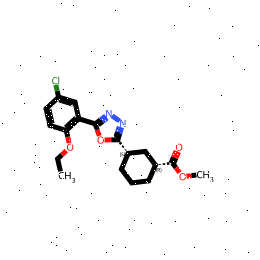 CCOc1ccc(Cl)cc1-c1nnc([C@H]2CCC[C@@H](C(=O)OC)C2)o1